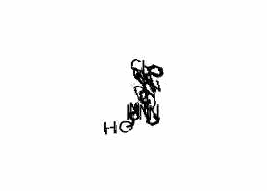 O=C(Nc1ccccn1)[C@H](CN1CC(CO)C1)Oc1ncnc2c1cnn2-c1ccccc1Cl